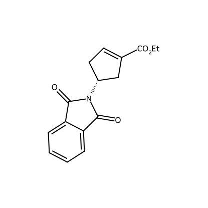 CCOC(=O)C1=CC[C@@H](N2C(=O)c3ccccc3C2=O)C1